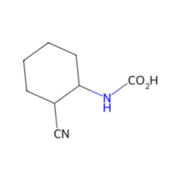 N#CC1CCCCC1NC(=O)O